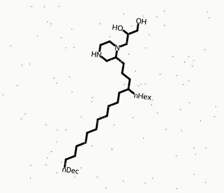 CCCCCCCCCCCCCCCCCCCCCC(CCCCCC)CCCC1CNCCN1CC(O)CO